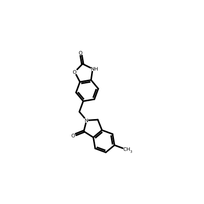 Cc1ccc2c(c1)CN(Cc1ccc3[nH]c(=O)oc3c1)C2=O